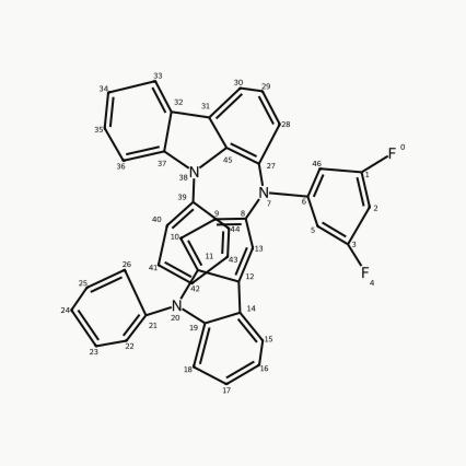 Fc1cc(F)cc(N(c2ccc3c(c2)c2ccccc2n3-c2ccccc2)c2cccc3c4ccccc4n(-c4ccccc4)c23)c1